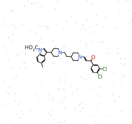 Cc1ccc2c(c1)c(C1CCN(CCC3CCN(/C=C/C(=O)c4ccc(Cl)c(Cl)c4)CC3)CC1)cn2C(=O)O